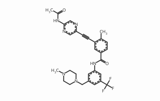 CC(=O)Nc1cnc(C#Cc2cc(C(=O)Nc3cc(CN4CCN(C)CC4)cc(C(F)(F)F)c3)ccc2C)cn1